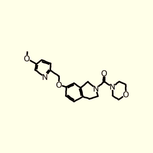 COc1ccc(COc2ccc3c(c2)CN(C(=O)N2CCOCC2)CC3)nc1